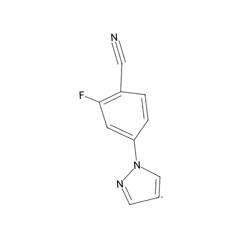 N#Cc1ccc(-n2c[c]cn2)cc1F